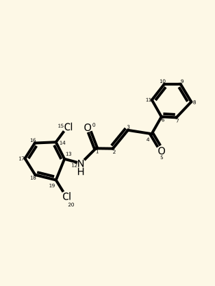 O=C(C=CC(=O)c1ccccc1)Nc1c(Cl)cccc1Cl